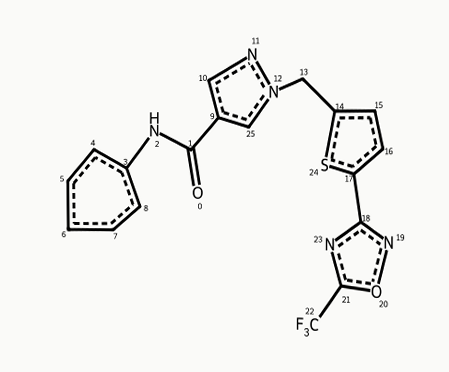 O=C(Nc1ccccc1)c1cnn(Cc2ccc(-c3noc(C(F)(F)F)n3)s2)c1